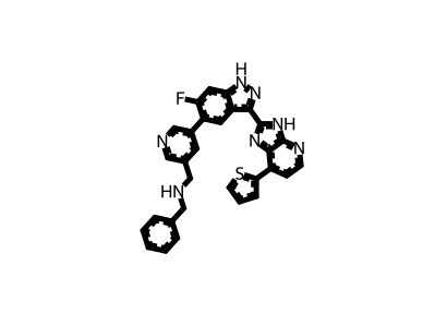 Fc1cc2[nH]nc(-c3nc4c(-c5cccs5)ccnc4[nH]3)c2cc1-c1cncc(CNCc2ccccc2)c1